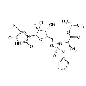 CC(C)OC(=O)[C@@H](C)NP(=O)(OC[C@H]1O[C@@H](n2cc(F)c(=O)[nH]c2=O)[C@](F)(Cl)[C@@H]1O)Oc1ccccc1